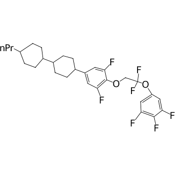 CCCC1CCC(C2CCC(c3cc(F)c(OCC(F)(F)Oc4cc(F)c(F)c(F)c4)c(F)c3)CC2)CC1